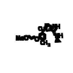 COCCCOc1cc(C(=O)N(C[C@@H]2CNC[C@H]2CNC2CC2)C(C)C)ccc1C